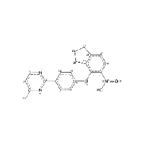 Cc1ccnc(-c2ccc(Oc3c([N+](=O)[O-])ccc4c3CCC4)cc2)n1